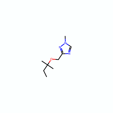 CCC(C)(C)OCc1ncn(C)n1